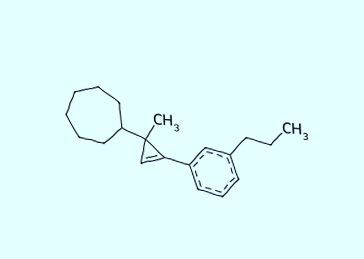 CCCc1cccc(C2=CC2(C)C2CCCCCC2)c1